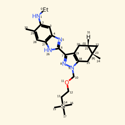 CCNc1cc2nc(-c3nn(COCC[Si](C)(C)C)c4c3C[C@@H]3C[C@]3(C)C4)[nH]c2cc1C